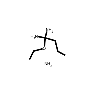 CCCC(N)(N)OCC.N